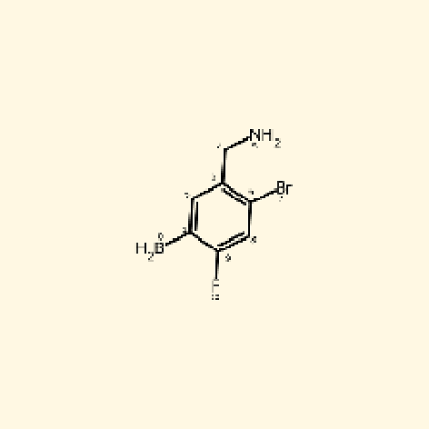 Bc1cc(CN)c(Br)cc1F